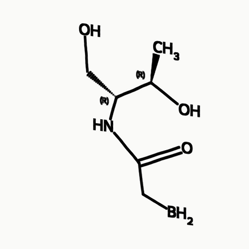 BCC(=O)N[C@H](CO)[C@@H](C)O